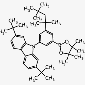 CC(C)(C)CC(C)(C)c1cc(B2OC(C)(C)C(C)(C)O2)cc(-n2c3cc(C(C)(C)C)ccc3c3ccc(C(C)(C)C)cc32)c1